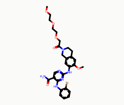 COCCOCCOCC(=O)N1CCc2cc(OC)c(Nc3ncc(C(N)=O)c(Nc4ccccc4Br)n3)cc2C1